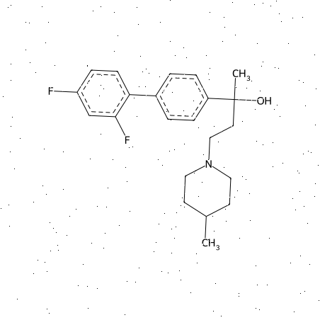 CC1CCN(CCC(C)(O)c2ccc(-c3ccc(F)cc3F)cc2)CC1